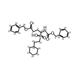 O=C(CCC(NC(=O)OCc1ccccc1)P(=O)(O)CCC1CCCCC1)OCc1ccccc1